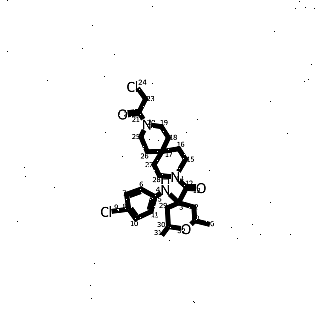 CC1CC(Nc2ccc(Cl)cc2)(C(=O)N2CCC3(CCN(C(=O)CCl)CC3)CC2)CC(C)O1